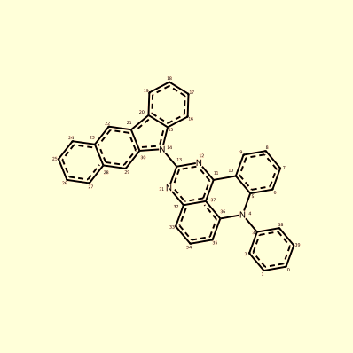 c1ccc(N2c3ccccc3-c3nc(-n4c5ccccc5c5cc6ccccc6cc54)nc4cccc2c34)cc1